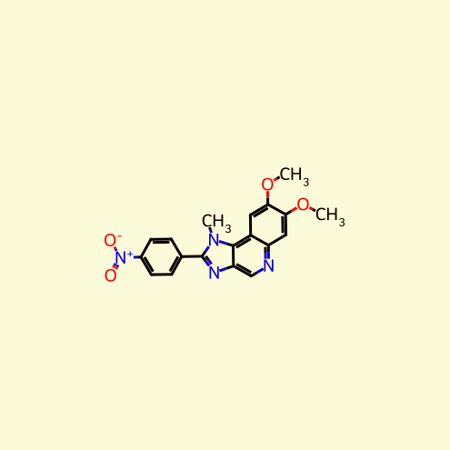 COc1cc2ncc3nc(-c4ccc([N+](=O)[O-])cc4)n(C)c3c2cc1OC